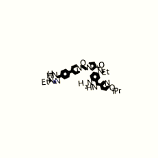 CCN/C=N\C(=N)c1ccc(C2=CCN(C(=O)CN3CC[C@@H](C(=O)N(CC)c4ccc(N)c(C(=N)c5ccc(OC(C)C)nc5)c4)C3)CC2)cc1